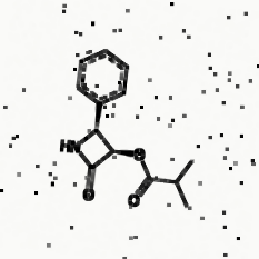 CC(C)C(=O)O[C@H]1C(=O)N[C@H]1c1ccccc1